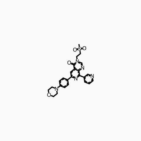 CS(=O)(=O)CCn1cnc2c(-c3cccnc3)nc(-c3ccc(N4CCOCC4)cc3)cc2c1=O